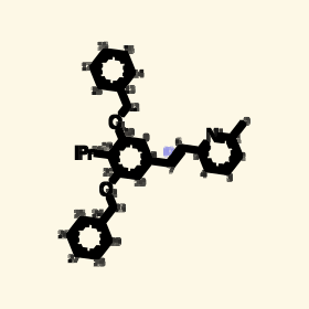 Cc1cccc(/C=C/c2cc(OCc3ccccc3)c(C(C)C)c(OCc3ccccc3)c2)n1